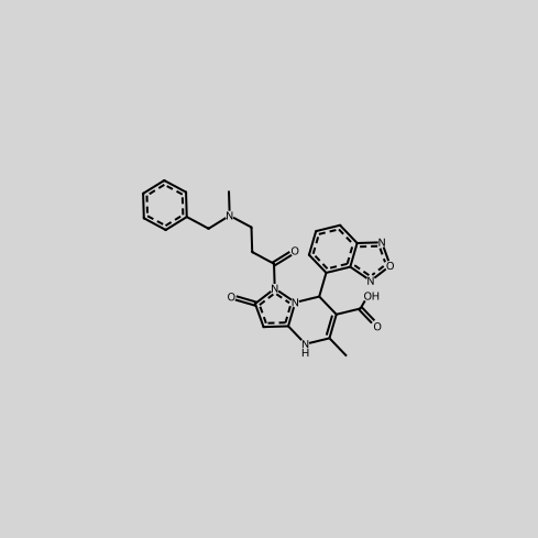 CC1=C(C(=O)O)C(c2cccc3nonc23)n2c(cc(=O)n2C(=O)CCN(C)Cc2ccccc2)N1